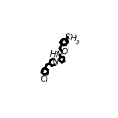 Cc1ccc(CC(=O)NC2CCCC2N2CCC(Cc3ccc(Cl)cc3)CC2)cc1